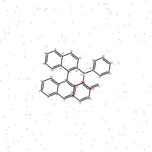 C=CCc1ccc2ccccc2c1-c1c(P(c2ccccc2)c2ccccc2)ccc2ccccc12